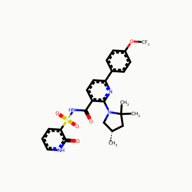 C[C@@H]1CN(c2nc(-c3ccc(OC(F)(F)F)cc3)ccc2C(=O)NS(=O)(=O)c2ccc[nH]c2=O)C(C)(C)C1